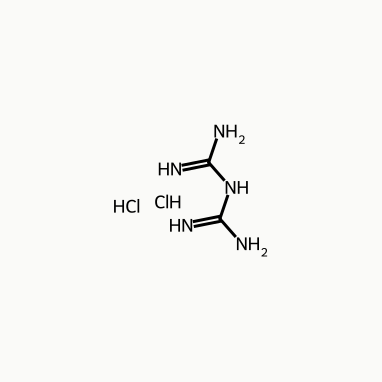 Cl.Cl.N=C(N)NC(=N)N